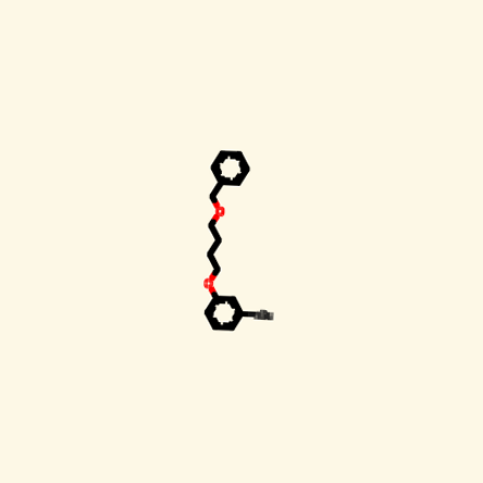 CCCCc1cccc(OCCCCOCc2ccccc2)c1